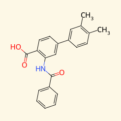 Cc1ccc(-c2ccc(C(=O)O)c(NC(=O)c3ccccc3)c2)cc1C